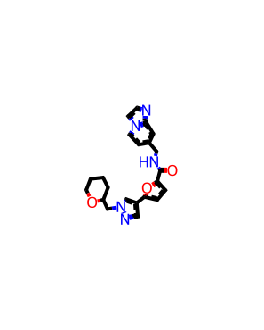 O=C(NCc1ccn2ccnc2c1)c1ccc(-c2cnn(CC3CCCCO3)c2)o1